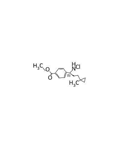 CCOC(=O)c1ccc([C@H](CCC2(C)CC2)NCl)cc1